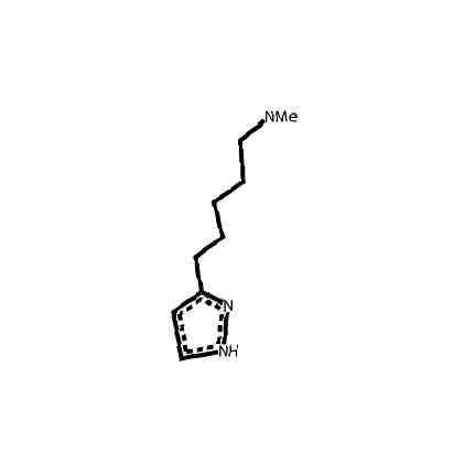 CNCCCCCc1cc[nH]n1